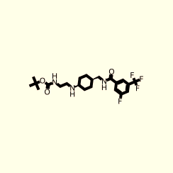 CC(C)(C)OC(=O)NCCN[C@H]1CC[C@@H](CNC(=O)c2cc(F)cc(C(F)(F)F)c2)CC1